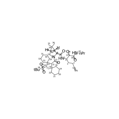 C#CCCC(NC(=O)[C@@H]1[C@@H]2[C@H](CN1C(=O)C(C1(C)CCCCC1)C1(CS(=O)(=O)C(C)(C)C)CCCCC1)C2(C)C)C(=O)C(=O)NCCC